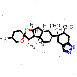 CC1CC[C@@]2(OC1)O[C@H]1C[C@H]3[C@H](C=O)[C@@H]([C@@]4(C)Cc5cn[nH]c5C[C@@H]4C=O)CC[C@]3(C)[C@H]1[C@@H]2C